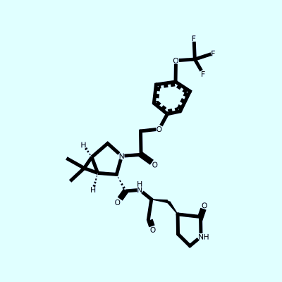 CC1(C)[C@@H]2[C@@H](C(=O)N[C@H](C=O)C[C@@H]3CCNC3=O)N(C(=O)COc3ccc(OC(F)(F)F)cc3)C[C@@H]21